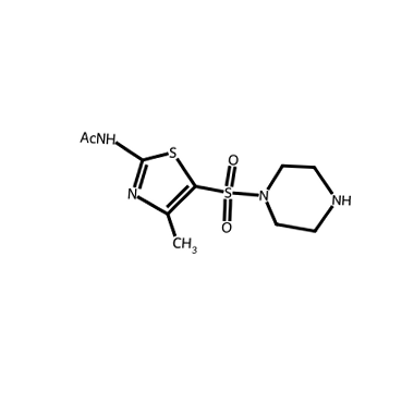 CC(=O)Nc1nc(C)c(S(=O)(=O)N2CCNCC2)s1